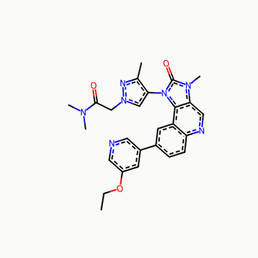 CCOc1cncc(-c2ccc3ncc4c(c3c2)n(-c2cn(CC(=O)N(C)C)nc2C)c(=O)n4C)c1